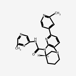 Cc1cc(-c2ccc3c(n2)N(C(=O)Nc2cncc(C)n2)[C@H]2CCCN3C2)ccn1